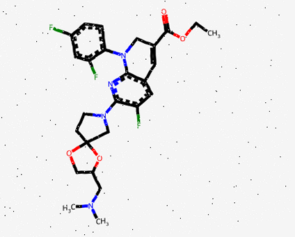 CCOC(=O)C1=Cc2cc(F)c(N3CCC4(C3)OCC(CN(C)C)O4)nc2N(c2ccc(F)cc2F)C1